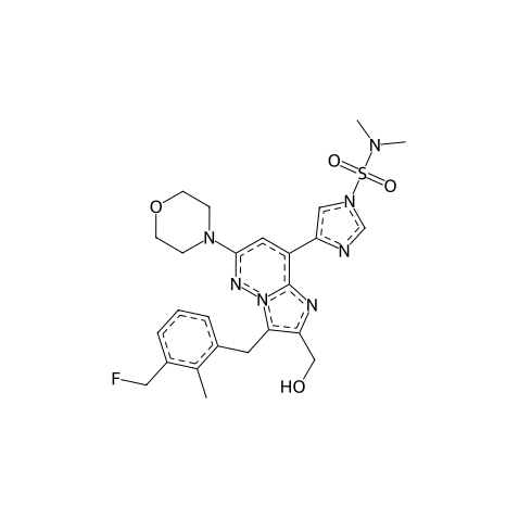 Cc1c(CF)cccc1Cc1c(CO)nc2c(-c3cn(S(=O)(=O)N(C)C)cn3)cc(N3CCOCC3)nn12